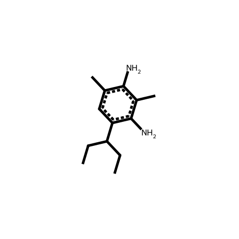 CCC(CC)c1cc(C)c(N)c(C)c1N